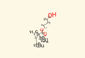 CC(C)(C)CC(C)(C(=O)OCCCCO)C(C)(C)C